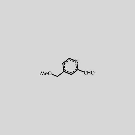 COCc1ccnc(C=O)c1